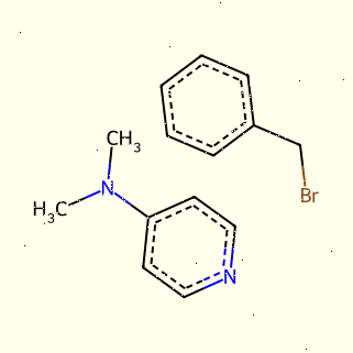 BrCc1ccccc1.CN(C)c1ccncc1